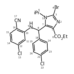 CCOC(=O)c1nc(Br)n(C(C)C)c1C(Nc1cc(Cl)ccc1C#N)c1ccc(Cl)cc1